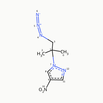 CC(C)(CN=[N+]=[N-])n1cc([N+](=O)[O-])cn1